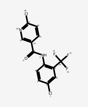 O=C(Nc1ccc(Cl)cc1C(F)(F)F)c1ccc(Cl)nc1